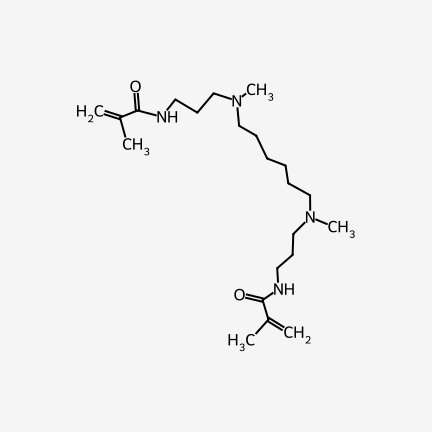 C=C(C)C(=O)NCCCN(C)CCCCCCN(C)CCCNC(=O)C(=C)C